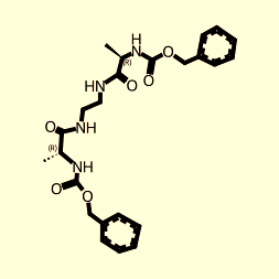 C[C@@H](NC(=O)OCc1ccccc1)C(=O)NCCNC(=O)[C@@H](C)NC(=O)OCc1ccccc1